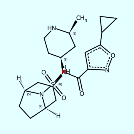 C[C@H]1C[C@@H](NS(=O)(=O)N2[C@@H]3CC[C@H]2C[C@@H](NC(=O)c2cc(C4CC4)on2)C3)CCN1